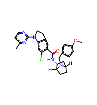 COc1ccc(CN2[C@H]3CC[C@@H]2[C@H](NC(=O)c2cc4c(cc2Cl)N(c2nccc(C)n2)CC4)C3)cc1